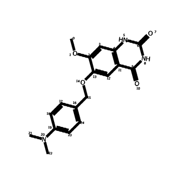 COc1cc2[nH]c(=O)[nH]c(=O)c2cc1OCc1ccc(N(C)C)cc1